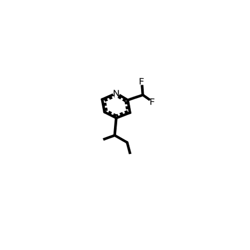 CCC(C)c1ccnc(C(F)F)c1